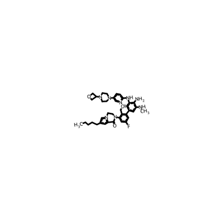 CCCCCc1cc2n(c1)CCN(c1cc(F)cc(-c3cc(NC)c(N)c(Nc4ccc(N5CCN(C6COC6)CC5)cn4)c3)c1CO)C2=O